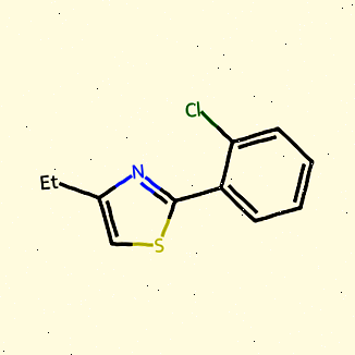 CCc1csc(-c2ccccc2Cl)n1